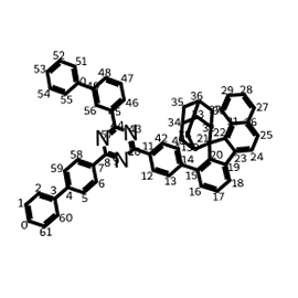 c1ccc(-c2ccc(-c3nc(-c4ccc(-c5cccc6c5C5(c7c-6ccc6ccccc76)C6CC7CC(C6)CC5C7)cc4)nc(-c4cccc(-c5ccccc5)c4)n3)cc2)cc1